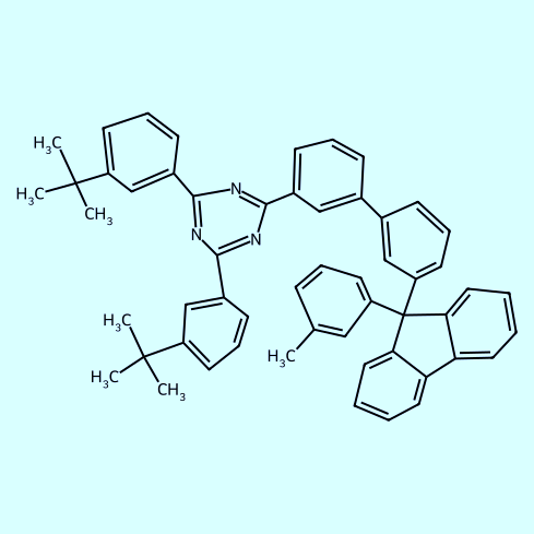 Cc1cccc(C2(c3cccc(-c4cccc(-c5nc(-c6cccc(C(C)(C)C)c6)nc(-c6cccc(C(C)(C)C)c6)n5)c4)c3)c3ccccc3-c3ccccc32)c1